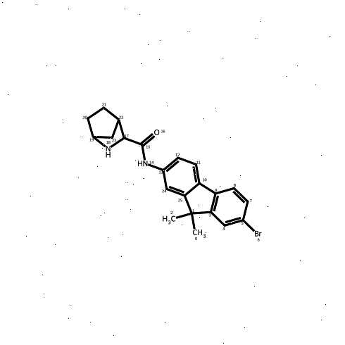 CC1(C)c2cc(Br)ccc2-c2ccc(NC(=O)C3NC4CCC3C4)cc21